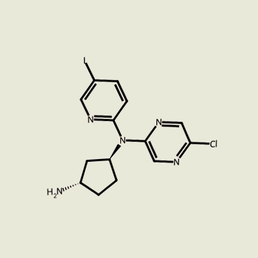 N[C@H]1CC[C@H](N(c2ccc(I)cn2)c2cnc(Cl)cn2)C1